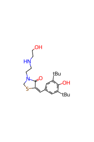 CC(C)(C)c1cc(C=C2SCN(CCNCCO)C2=O)cc(C(C)(C)C)c1O